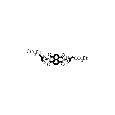 CCOC(=O)Cc1csc(N2C(=O)c3ccc4c5c(ccc(c35)C2=O)C(=O)N(c2nc(CC(=O)OCC)cs2)C4=O)n1